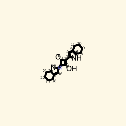 O=C1C(c2cc3c([nH]2)CCCC3)=C(O)/C1=C1\C=C2CCCCC2=N1